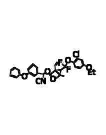 C=CC1(C(=O)OC(C#N)c2cccc(Oc3ccccc3)c2)C(C(F)(F)Oc2ccc(OCC)cc2Cl)C1(C)C